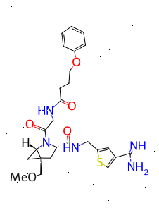 COC[C@@]12C[C@@H]1N(C(=O)CNC(=O)CCCOc1ccccc1)[C@H](C(=O)NCc1cc(C(=N)N)cs1)C2